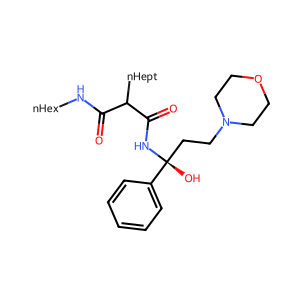 CCCCCCCC(C(=O)NCCCCCC)C(=O)N[C@](O)(CCN1CCOCC1)c1ccccc1